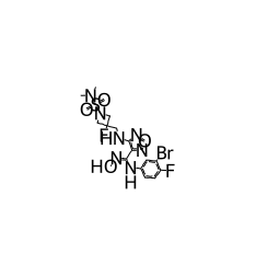 CN(C)S(=O)(=O)N1CC(F)(CNc2nonc2/C(=N/O)Nc2ccc(F)c(Br)c2)C1